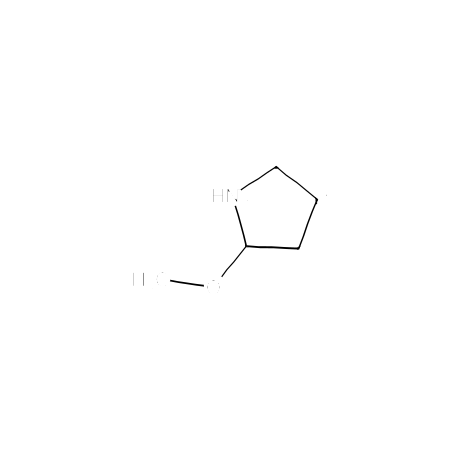 COC1C[CH]CN1